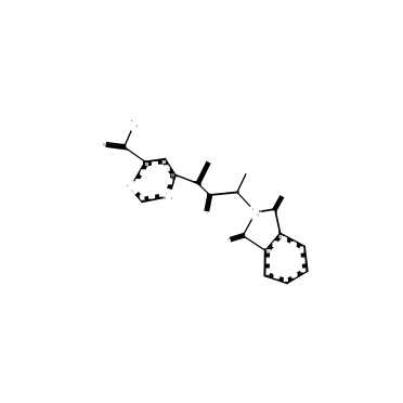 CC(C(=O)C(=O)c1cc(C(N)=O)ncn1)N1C(=O)c2ccccc2C1=O